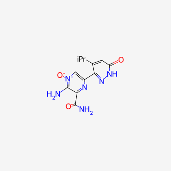 CC(C)c1cc(=O)[nH]nc1-c1c[n+]([O-])c(N)c(C(N)=O)n1